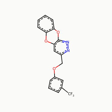 FC(F)(F)c1cccc(OCc2cc3c(nn2)Oc2ccccc2O3)c1